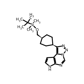 CC(C)(C)[Si](C)(C)OC[C@H]1CC[C@@H](c2nnn3cnc4[nH]ccc4c23)CC1